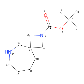 CC(C)(C)OC(=O)N1CC2(CCCCNC2)C1